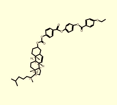 CCOc1ccc(C(=O)Oc2ccc(OC(=O)c3ccc(OC(=O)OC4CC[C@]5(C)C(C=C[C@@H]6[C@H]7CC[C@@H]([C@@H](C)CCCC(C)C)[C@]7(C)CC[C@H]65)C4)cc3)cc2)cc1